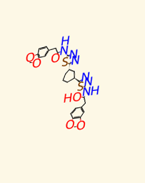 O=C(Cc1ccc2c(c1)OCO2)Nc1nnc([C@H]2CCC[C@H](c3nnc(NC(O)Cc4ccc5c(c4)OCO5)s3)C2)s1